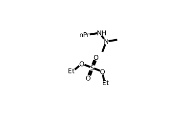 CCCNN(C)C.CCOS(=O)(=O)OCC